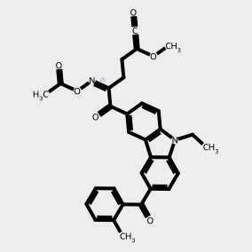 CCn1c2ccc(C(=O)/C(CCC(=C=O)OC)=N\OC(C)=O)cc2c2cc(C(=O)c3ccccc3C)ccc21